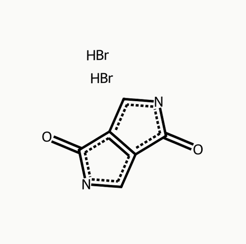 Br.Br.O=c1ncc2c(=O)ncc1=2